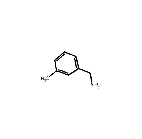 Cc1cccc(C[SiH2])c1